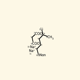 O=C([O-])CC(=O)[O-].[Li][CH](C)CCCCCCCCCCCC.[Na+].[Na+]